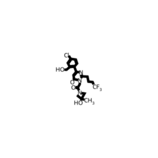 CC1(O)CN(C(=O)Cn2c(CCCC(F)(F)F)nc(-c3ccc(Cl)cc3CO)cc2=O)C1